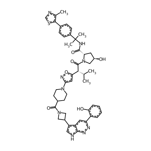 Cc1ncsc1-c1ccc(C(C)(C)NC(=O)[C@@H]2C[C@@H](O)CN2C(=O)[C@@H](c2cc(N3CCC(C(=O)N4CC(c5c[nH]c6nnc(-c7ccccc7O)cc56)C4)CC3)no2)C(C)C)cc1